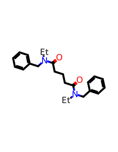 CCN(Cc1ccccc1)C(=O)CCCC(=O)N(CC)Cc1ccccc1